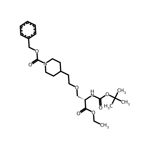 CCOC(=O)[C@H](COCCC1CCN(C(=O)OCc2ccccc2)CC1)NC(=O)OC(C)(C)C